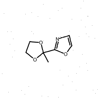 CC1(c2ncco2)OCCO1